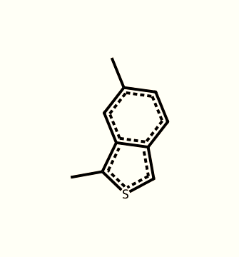 Cc1ccc2csc(C)c2c1